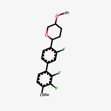 CCCOC1CCC(c2ccc(-c3ccc(OC)c(F)c3F)cc2F)OC1